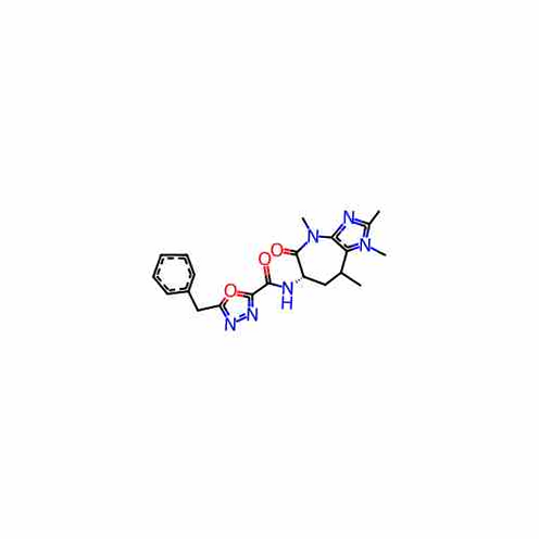 Cc1nc2c(n1C)C(C)C[C@H](NC(=O)c1nnc(Cc3ccccc3)o1)C(=O)N2C